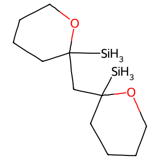 [SiH3]C1(CC2([SiH3])CCCCO2)CCCCO1